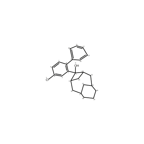 OC1(c2cc(Cl)ccc2-c2ccccc2)C2CC3CCCC(C3)CC1C2